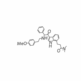 COc1ccc(CCN[C@H](C(=O)c2c[nH]c3c(CCC(=O)N(C)C)cccc23)c2ccccc2)cc1